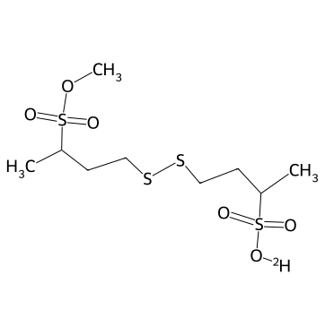 [2H]OS(=O)(=O)C(C)CCSSCCC(C)S(=O)(=O)OC